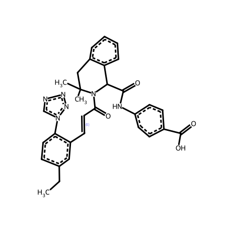 CCc1ccc(-n2cnnn2)c(/C=C/C(=O)N2C(C(=O)Nc3ccc(C(=O)O)cc3)c3ccccc3CC2(C)C)c1